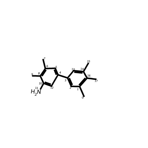 Cc1cc(-c2cc(C)c(C)c(N)c2)cc(C)c1C